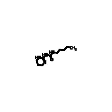 CCCCCNC(=O)NC1=NCCCN1